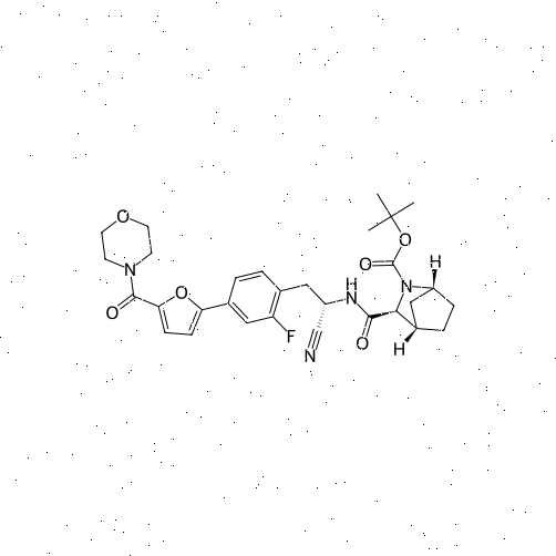 CC(C)(C)OC(=O)N1[C@@H]2CC[C@@H](C2)[C@H]1C(=O)N[C@H](C#N)Cc1ccc(-c2ccc(C(=O)N3CCOCC3)o2)cc1F